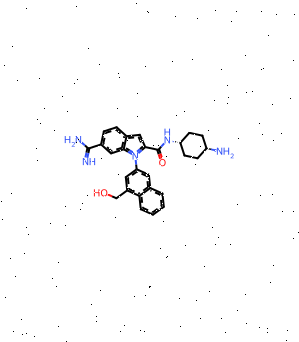 N=C(N)c1ccc2cc(C(=O)N[C@H]3CC[C@H](N)CC3)n(-c3cc(CO)c4ccccc4c3)c2c1